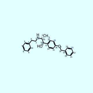 C[C@@H](NCCc1ccccc1)[C@@H](O)c1ccc(OCc2ccccc2)cc1